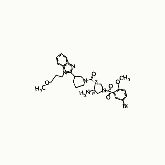 COCCCn1c(C2CCCN(C(=O)[C@@H]3CN(S(=O)(=O)c4cc(Br)ccc4OC)C[C@H]3N)C2)nc2ccccc21